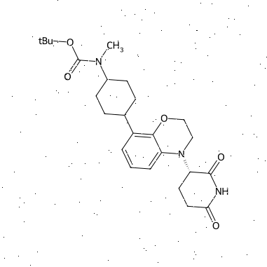 CN(C(=O)OC(C)(C)C)C1CCC(c2cccc3c2OCCN3[C@H]2CCC(=O)NC2=O)CC1